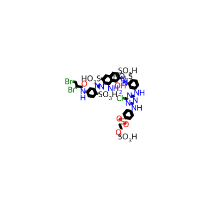 Nc1c(/N=N/c2cc(NC(=O)C(Br)CBr)ccc2S(=O)(=O)O)c(S(=O)(=O)O)cc2cc(S(=O)(=O)O)c(/N=N/c3cc(Nc4nc(Cl)nc(Nc5ccc(S(=O)(=O)CCOS(=O)(=O)O)cc5)n4)ccc3S(=O)(=O)O)c(O)c12